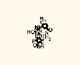 Cc1ccc(C(N)=O)cc1Nc1nc(O)nc(Nc2c(F)c(F)c(C(=O)O)c(F)c2F)n1